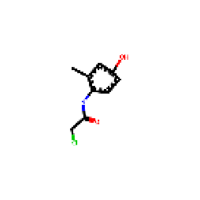 Cc1cc(O)ccc1NC(=O)CCl